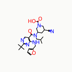 CC(C)CN(C(=O)c1cnc(C(C)(C)C)nc1NCc1ccco1)C1CC(C#N)CN(C(=O)O)C1